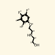 Cc1c(F)c(F)cc(OCCNCCO)c1F